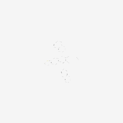 C1=CC2C=c3c(-c4ccc5ccccc5c4)c4cc5sccc5cc4c(-c4ccc5ccccc5c4)c3=CC2S1